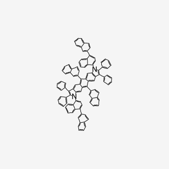 c1ccc(-c2c(-c3ccccc3)n(-c3ccc(-c4ccc5ccccc5c4)c4ccccc34)c3cc4c(-c5ccc6ccccc6c5)c5cc6c(-c7ccccc7)c(-c7ccccc7)n(-c7ccc(-c8ccc9ccccc9c8)c8ccccc78)c6cc5c(-c5ccc6ccccc6c5)c4cc23)cc1